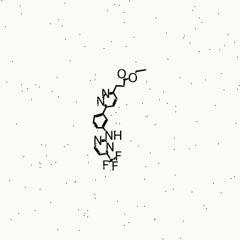 CCOC(=O)CCc1ccc(-c2cccc(Nc3nccc(C(F)(F)F)n3)c2)nn1